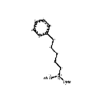 CO[SiH](CCCCCc1ccccc1)OC